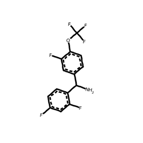 NC(c1ccc(OC(F)(F)F)c(F)c1)c1ccc(F)cc1F